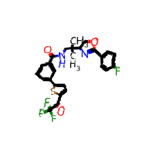 CC(C)(CNC(=O)c1cccc(-c2ccc(C(=O)C(F)(F)F)s2)c1)C1COC(c2ccc(F)cc2)=N1